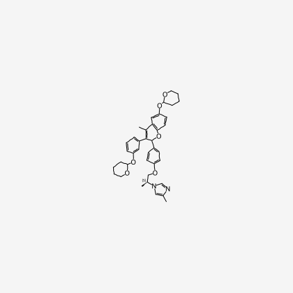 CC1=C(c2cccc(OC3CCCCO3)c2)C(c2ccc(OC[C@H](C)n3cnc(C)c3)cc2)Oc2ccc(OC3CCCCO3)cc21